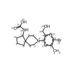 Cc1nc(N2CCC3(CCCC3NC(=O)O)CC2)c(CO)nc1Br